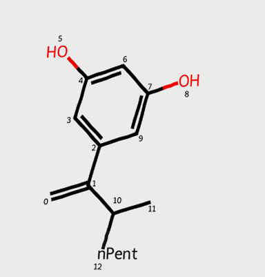 C=C(c1cc(O)cc(O)c1)C(C)CCCCC